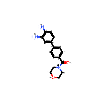 Nc1ccc(-c2ccc(C(=O)N3CCOCC3)cc2)cc1N